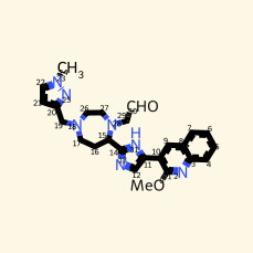 COc1nc2ccccc2cc1-c1cnc(C2CCN(Cc3ccn(C)n3)CCN2CC=O)[nH]1